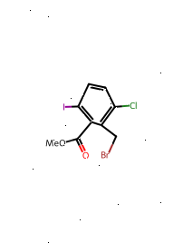 COC(=O)c1c(I)ccc(Cl)c1CBr